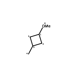 COC1CC(C)C1